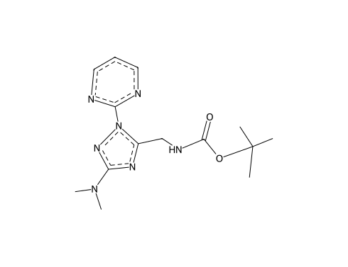 CN(C)c1nc(CNC(=O)OC(C)(C)C)n(-c2ncccn2)n1